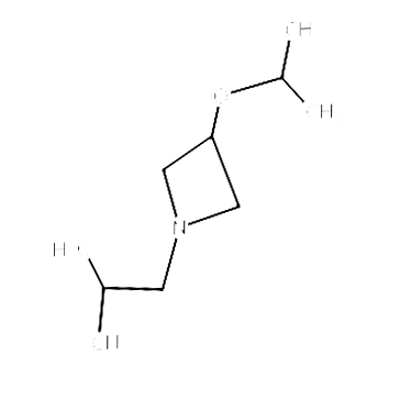 CC(C)CN1CC(OC(C)C)C1